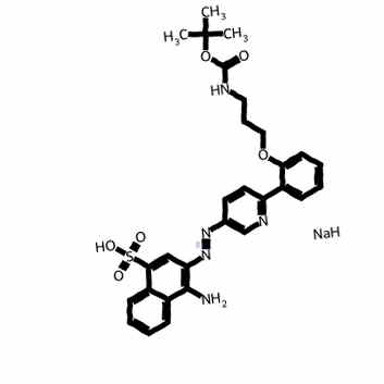 CC(C)(C)OC(=O)NCCCOc1ccccc1-c1ccc(/N=N/c2cc(S(=O)(=O)O)c3ccccc3c2N)cn1.[NaH]